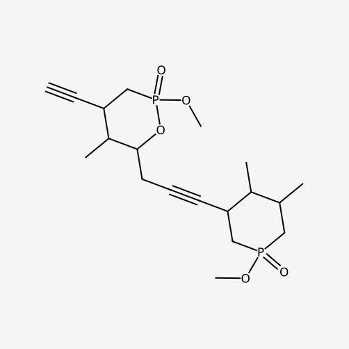 C#CC1CP(=O)(OC)OC(CC#CC2CP(=O)(OC)CC(C)C2C)C1C